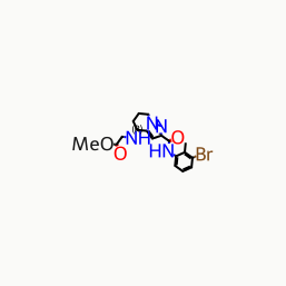 COC(=O)CN[C@@H]1CCCn2nc(C(=O)Nc3cccc(Br)c3C)cc21